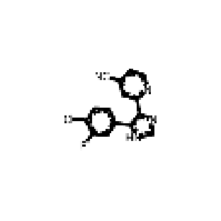 N#Cc1ccnc(-c2nc[nH]c2-c2ccc(Cl)c(F)c2)c1